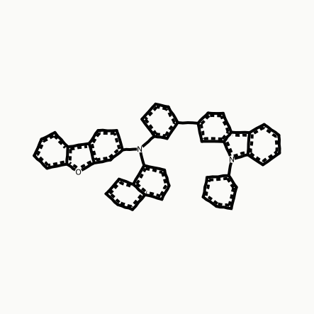 c1ccc(-n2c3ccccc3c3ccc(-c4cccc(N(c5ccc6c(c5)oc5ccccc56)c5cccc6ccccc56)c4)cc32)cc1